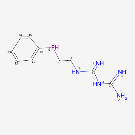 N=C(N)NC(=N)NCCPc1ccccc1